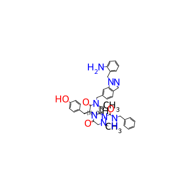 C[C@@H]1[C@H]2N(C(=O)CN(C)N2C(=O)NCc2ccccc2)[C@@H](Cc2ccc(O)cc2)C(=O)N1Cc1ccc2cnn(Cc3ccccc3N)c2c1